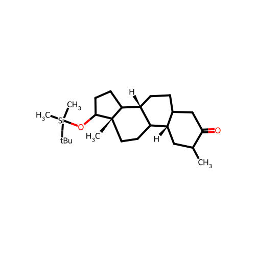 CC1C[C@H]2C(CC[C@@H]3C2CC[C@]2(C)C(O[Si](C)(C)C(C)(C)C)CCC32)CC1=O